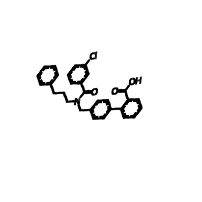 O=C(O)c1ccccc1-c1ccc(CN(CCCc2ccccc2)C(=O)c2cccc(Cl)c2)cc1